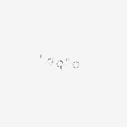 O=C(O)NC(Cn1ccc(-c2noc(C(F)(F)F)n2)cc1=O)c1cccc(C(F)(F)F)c1